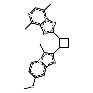 COc1ccn2c(C)c(C3CCC3c3nc4c(C)ncc(C)n4n3)nc2c1